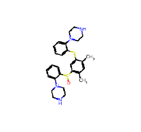 Cc1cc(C)c([S+]([O-])c2ccccc2N2CCNCC2)cc1Sc1ccccc1N1CCNCC1